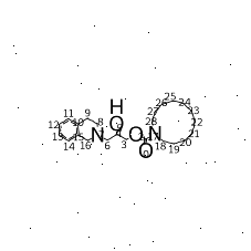 O=C(OCC(O)CN1CCc2ccccc2C1)N1CCCCCCCCCCC1